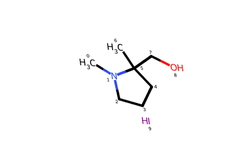 CN1CCCC1(C)CO.I